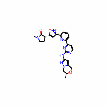 C[C@H]1Cn2nc(Nc3nccc(-c4cccc(-c5cc([C@@H]6CCN(C)C6=O)on5)n4)n3)cc2CO1